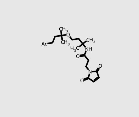 CC(=O)CCC(C)(C)OCCC(C)(C)NC(=O)CCN1C(=O)C=CC1=O